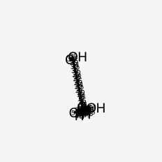 C[C@]12CCC(=O)C[C@@H]1CC[C@@H]1[C@@H]2[C@@H](OCCCCCCCCCCCCCCCCCCCCCCCC(=O)O)C[C@]2(C)[C@@H](O)CC[C@@H]12